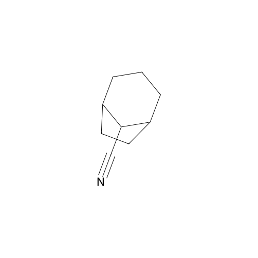 N#CC1C2CCCC1CC2